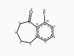 O=C1CCCCc2cccc(F)c21